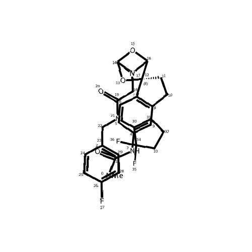 CNC(=O)Nc1ccc2c(c1)CC[C@@]21OC2OC1N2CC(=O)N(Cc1ccc(F)cc1)C1CCCC1(F)F